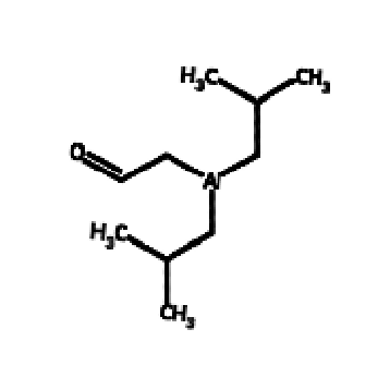 CC(C)[CH2][Al]([CH2]C=O)[CH2]C(C)C